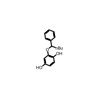 CCCC[C](Oc1cc(O)ccc1O)c1ccccc1